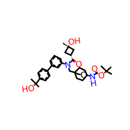 CC(C)(C)OC(=O)NC12CCC(CN(c3cccc(-c4ccc(C(C)(C)O)cc4)c3)C(=O)[C@H]3C[C@@](C)(O)C3)(CC1)CC2